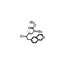 CCCCN(C[C@@H](C)C(CC)Cc1ccc2cnccc2c1)C(=O)OC(C)(C)C